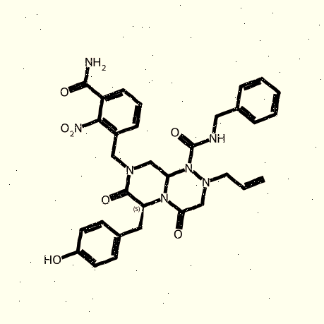 C=CCN1CC(=O)N2C(CN(Cc3cccc(C(N)=O)c3[N+](=O)[O-])C(=O)[C@@H]2Cc2ccc(O)cc2)N1C(=O)NCc1ccccc1